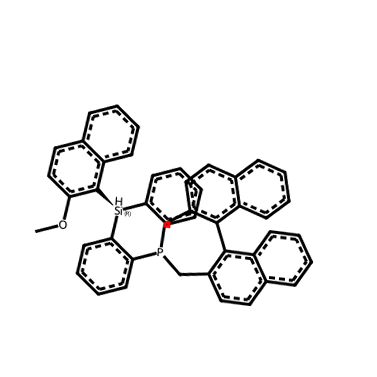 COc1ccc2ccccc2c1[Si@@H](c1ccccc1)c1ccccc1P1Cc2ccc3ccccc3c2-c2c(ccc3ccccc23)C1